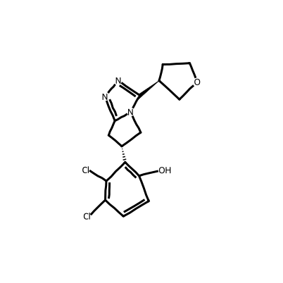 Oc1ccc(Cl)c(Cl)c1[C@@H]1Cc2nnc([C@H]3CCOC3)n2C1